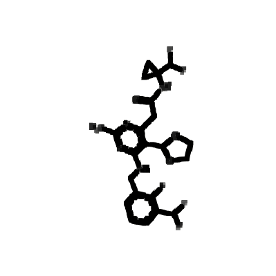 Cc1nc(CC(=O)NC2(C(F)F)CC2)c(C2OCCO2)c(NCc2cccc(C(F)F)c2F)n1